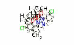 C=CCCCN(Cc1ccc(Cl)cc1)C(=NC(=O)OC(C)(C)C)N(Cc1ccc(Cl)cc1)C(=O)OC(C)(C)C